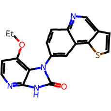 CCOc1ccnc2[nH]c(=O)n(-c3ccc4ncc5ccsc5c4c3)c12